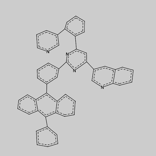 c1ccc(-c2c3ccccc3c(-c3cccc(-c4nc(-c5cnc6ccccc6c5)cc(-c5ccccc5-c5cccnc5)n4)c3)c3ccccc23)cc1